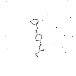 O=C(C=Cc1ccc(OCc2ccccc2)cc1)C1CC1